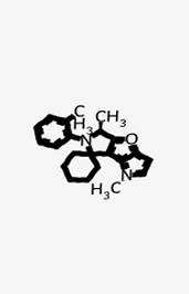 Cc1ccccc1N1[C@@H](C)c2oc3ccn(C)c3c2C12CCCCC2